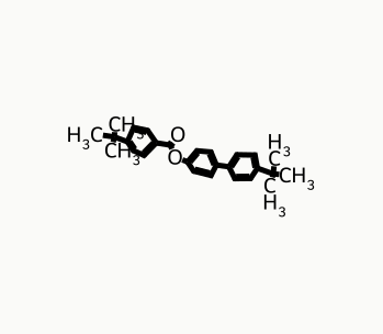 CC(C)(C)c1ccc(C(=O)Oc2ccc(-c3ccc(C(C)(C)C)cc3)cc2)cc1